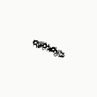 Nc1ccccc1NC(=O)c1ccc(Cn2ncc3cc(NC(=O)N4CCOCC4)ccc32)cc1